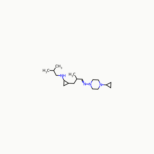 CC(C)CNC1CC1CC(C)/C=N/N1CCN(C2CC2)CC1